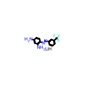 Nc1ccc(/N=N/c2cccc(C(F)(F)F)c2)c(N)c1.[LiH]